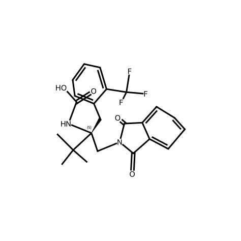 CC(C)(C)[C@@](Cc1ccccc1C(F)(F)F)(CN1C(=O)c2ccccc2C1=O)NC(=O)O